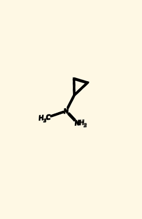 CN(N)C1CC1